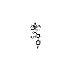 C[C@H]1[C@H](NC(=O)c2ccc(-c3ccc(F)cn3)n2C)C2CCN1CC2